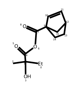 CCC(C)(O)C(=O)OC(=O)C12C=CC(CC1)C2